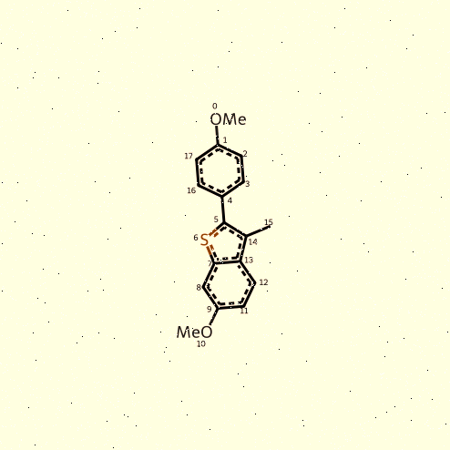 COc1ccc(-c2sc3cc(OC)ccc3c2C)cc1